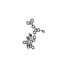 N#Cc1ccc2c(c1)c1cc(-c3ccc4c(c3)C3(c5ccc(-n6c7ccccc7c7ccccc76)cc5O4)c4cccnc4-c4ncc(-n5c6ccccc6c6ccccc65)cc43)ccc1n2-c1ccc(-n2c3ccccc3c3ccccc32)cc1